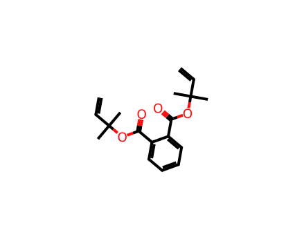 C=CC(C)(C)OC(=O)c1ccccc1C(=O)OC(C)(C)C=C